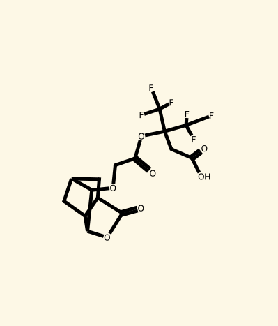 O=C(O)CC(OC(=O)COC1C2CC3C(=O)OC1C3C2)(C(F)(F)F)C(F)(F)F